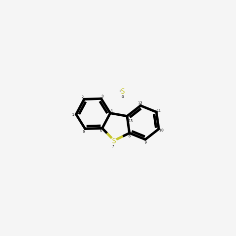 [S].c1ccc2c(c1)sc1ccccc12